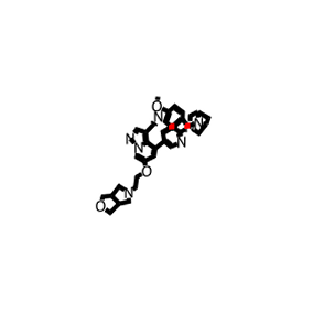 COc1ccc(CN2C3CC2CN(c2ccc(-c4cc(OCCN5CC6COCC6C5)cn5ncc(C#N)c45)cn2)C3)cc1